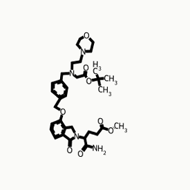 COC(=O)CCC(C(N)=O)N1Cc2c(OCc3ccc(CN(CCN4CCOCC4)CC(=O)OC(C)(C)C)cc3)cccc2C1=O